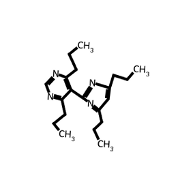 CCCc1cc(CCC)nc(-c2c(CCC)ncnc2CCC)n1